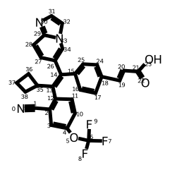 N#Cc1cc(OC(F)(F)F)ccc1/C(=C(\c1ccc(/C=C/C(=O)O)cc1)c1ccc2nccn2c1)C1CCC1